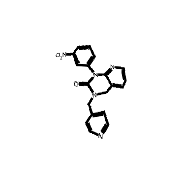 O=C1N(Cc2ccncc2)Cc2cccnc2N1c1cccc([N+](=O)[O-])c1